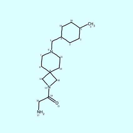 CC1CCC(CN2CCC3(CC2)CN(C(=O)CN)C3)CC1